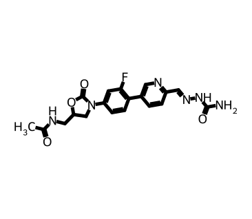 CC(=O)NCC1CN(c2ccc(-c3ccc(C=NNC(N)=O)nc3)c(F)c2)C(=O)O1